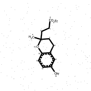 CCOC(=O)CCC1(C)CCc2cc(O)ccc2O1